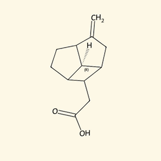 C=C1CC2C(CC(=O)O)C3CCC1[C@H]32